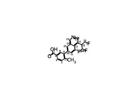 Cc1ccc(C(=O)O)cc1-c1ccc2c(C(CF)C(F)F)nncc2c1